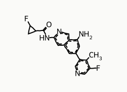 Cc1c(F)cncc1-c1cc(N)c2cnc(NC(=O)C3CC3F)cc2c1